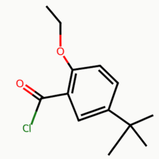 CCOc1ccc(C(C)(C)C)cc1C(=O)Cl